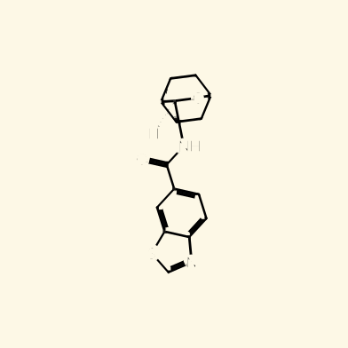 O=C(N[C@@H]1CC2CCC1CC2)c1ccc2ncsc2c1